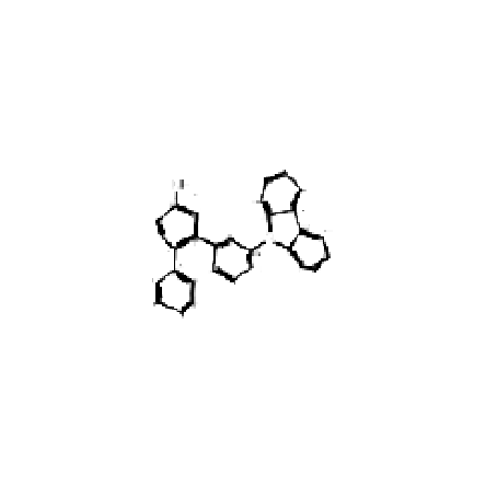 Nc1ccc(-c2ccccc2)c(-c2cccc(-n3c4ccccc4c4ccccc43)c2)c1